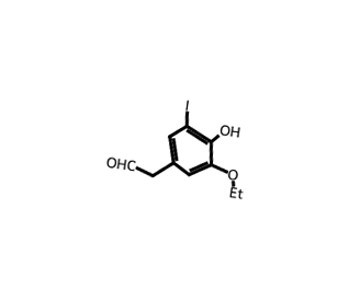 CCOc1cc(CC=O)cc(I)c1O